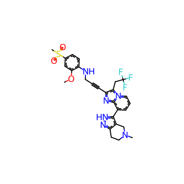 COc1cc(S(C)(=O)=O)ccc1NCC#Cc1nc2c(-c3[nH]nc4c3CN(C)CC4)cccn2c1CC(F)(F)F